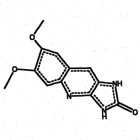 COc1cc2cc3[nH]c(=O)[nH]c3nc2cc1OC